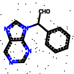 O=CC(c1ccccc1)n1cnc2cncnc21